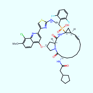 COc1ccc2c(O[C@@H]3C[C@H]4C(=O)N[C@]5(P(=O)(O)Cc6c(F)cccc6F)C[C@H]5/C=C\CCCCC[C@H](NC(=O)CC5CCCC5)C(=O)N4C3)cc(-c3csc(NC(C)C)n3)nc2c1Cl